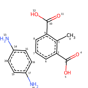 Cc1c(C(=O)O)cccc1C(=O)O.Nc1ccc(N)cc1